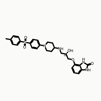 Cc1ccc(S(=O)(=O)c2ccc(N3CCC(NC[C@@H](O)COc4cccc5[nH]c(=O)[nH]c45)CC3)cc2)cc1